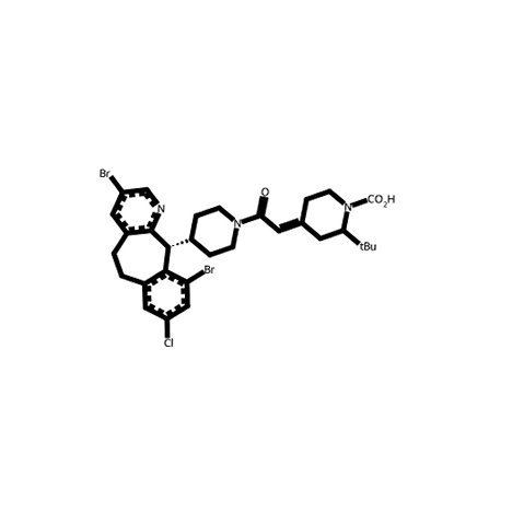 CC(C)(C)C1CC(=CC(=O)N2CCC([C@H]3c4ncc(Br)cc4CCc4cc(Cl)cc(Br)c43)CC2)CCN1C(=O)O